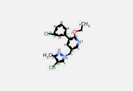 CCOc1ncc(Cn2cc(Cl)c(C)n2)cc1-c1cccc(Cl)c1